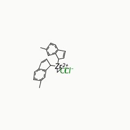 Cc1ccc2c(c1)[CH]([Zr+2]1([CH]3C=Cc4ccc(C)cc43)[CH2][CH2]1)C=C2.[Cl-].[Cl-]